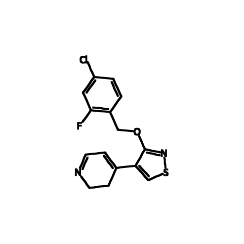 Fc1cc(Cl)ccc1COc1nscc1C1=CC=NCC1